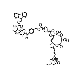 CC[C@H](O)[C@@H](C)[C@H]1O[C@@H]1C[C@@](C)(O)/C=C/C=C(\C)[C@H]1OC(=O)C[C@H](O)CC[C@@](C)(OC(C)=O)[C@@H](OC(=O)N2CCN(C(=O)OCc3ccc(NC(=O)[C@H](C)NC(=O)[C@@H](NC(=O)OCC4c5ccccc5-c5ccccc54)C(C)C)cc3)CC2)/C=C/[C@@H]1C